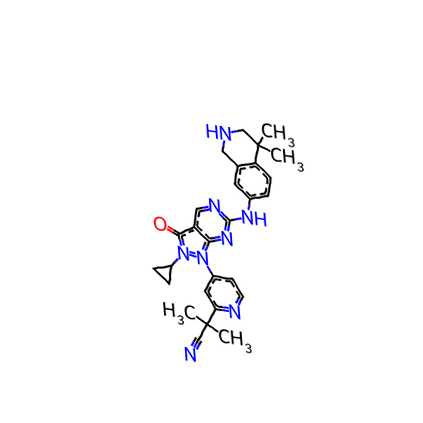 CC(C)(C#N)c1cc(-n2c3nc(Nc4ccc5c(c4)CNCC5(C)C)ncc3c(=O)n2C2CC2)ccn1